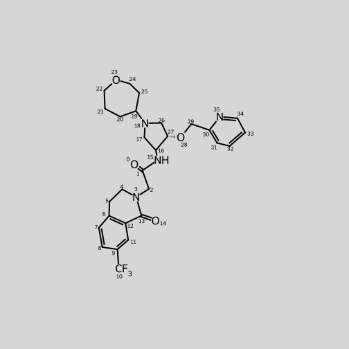 O=C(CN1CCc2ccc(C(F)(F)F)cc2C1=O)NC1CN(C2CCCOCC2)C[C@@H]1OCc1ccccn1